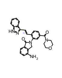 Nc1cccc2c1CN(c1cc(C(=O)N3CCOCC3)ccc1/C=C/c1n[nH]c3ccccc13)C2=O